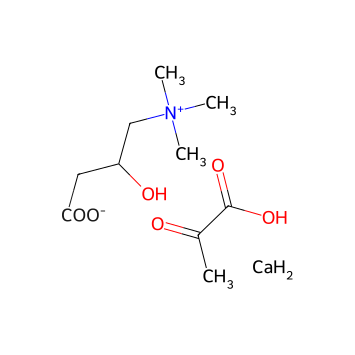 CC(=O)C(=O)O.C[N+](C)(C)CC(O)CC(=O)[O-].[CaH2]